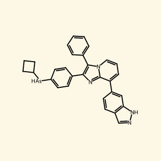 c1ccc(-c2c(-c3ccc([AsH]C4CCC4)cc3)nc3c(-c4ccc5cn[nH]c5c4)cccn23)cc1